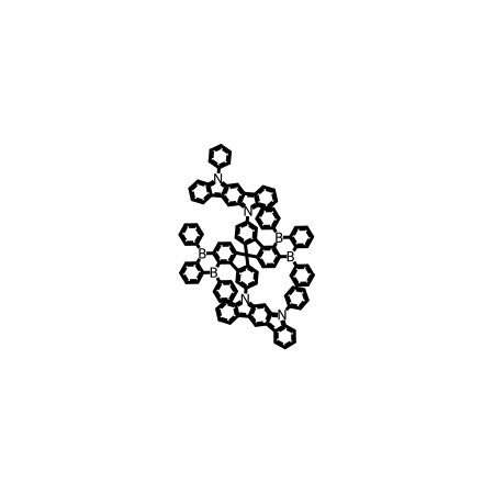 c1ccc(B2c3ccccc3B(c3ccccc3)c3c2ccc2c3-c3cc(-n4c5ccccc5c5cc6c(cc54)c4ccccc4n6-c4ccccc4)ccc3C23c2ccc(-n4c5ccccc5c5cc6c7ccccc7n(-c7ccccc7)c6cc54)cc2-c2c3ccc3c2B(c2ccccc2)c2ccccc2B3c2ccccc2)cc1